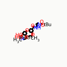 COC[C@H](C)Oc1cc(Oc2ccc3c(c2)OCCN(C)S3(O)O)cc(C(=O)Nc2ccn(C(=O)OC(C)(C)C)n2)c1